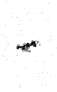 COC(=O)NC(CCC=CC(=O)N(C)C)C(=O)Nc1cccn(Cc2cc3ncc(C(F)(F)F)c(C=C(C)C)c3[nH]2)c1=O